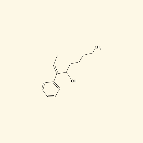 CCCCCC(O)C(=CI)c1ccccc1